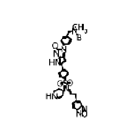 B#CN(C)Cc1ccc(-n2cc3cc(-c4ccc(S(=O)(=O)N(CCCc5ccc6nonc6c5)C5CCNCC5)cc4)[nH]c3nc2=O)cc1